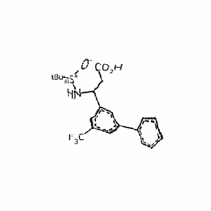 CC(C)(C)[S@@+]([O-])NC(CC(=O)O)c1cc(-c2ccccc2)cc(C(F)(F)F)c1